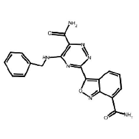 NC(=O)c1nnc(-c2onc3c(C(N)=O)cccc23)nc1NCc1ccccc1